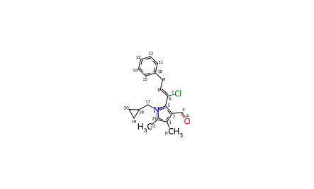 Cc1c(C=O)c(C(Cl)=CCc2ccccc2)n(CC2CC2)c1C